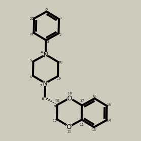 c1ccc(N2CCN(C[C@H]3COc4ccccc4O3)CC2)cc1